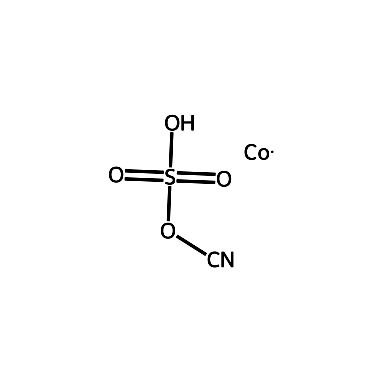 N#COS(=O)(=O)O.[Co]